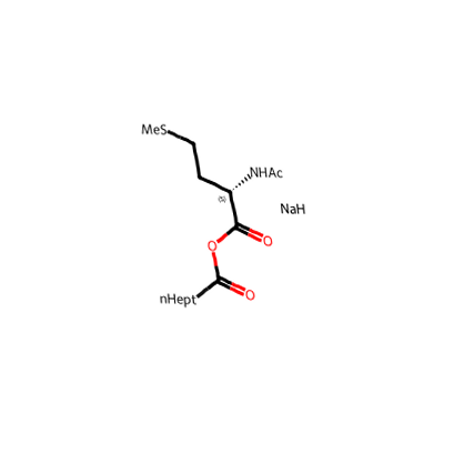 CCCCCCCC(=O)OC(=O)[C@H](CCSC)NC(C)=O.[NaH]